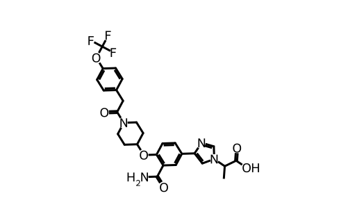 CC(C(=O)O)n1cnc(-c2ccc(OC3CCN(C(=O)Cc4ccc(OC(F)(F)F)cc4)CC3)c(C(N)=O)c2)c1